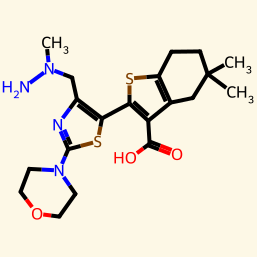 CN(N)Cc1nc(N2CCOCC2)sc1-c1sc2c(c1C(=O)O)CC(C)(C)CC2